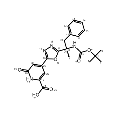 CC(C)(C)OC(=O)N[C@@](C)(Cc1ccccc1)c1nnc(-c2cc(C(=O)O)[nH]c(=O)c2)o1